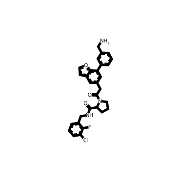 NCc1cccc(-c2cc(CC(=O)N3CCCC3C(=O)NCc3cccc(Cl)c3F)cc3ccoc23)c1